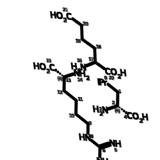 CC(C)C[C@@H](N)C(=O)O.N=C(N)NCCCC[C@@H](N)C(=O)O.NC(CCCC(=O)O)C(=O)O